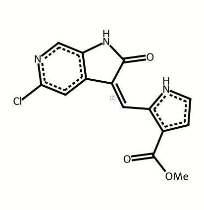 COC(=O)c1cc[nH]c1/C=C1\C(=O)Nc2cnc(Cl)cc21